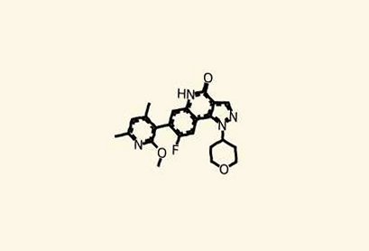 COc1nc(C)cc(C)c1-c1cc2[nH]c(=O)c3cnn(C4CCOCC4)c3c2cc1F